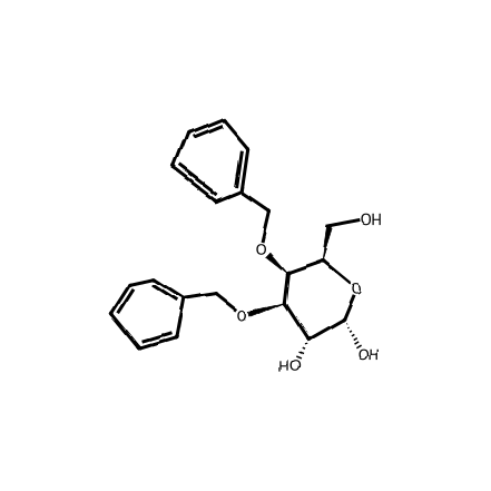 OC[C@H]1O[C@H](O)[C@H](O)[C@@H](OCc2ccccc2)[C@H]1OCc1ccccc1